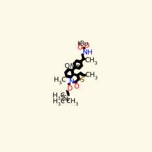 COc1cc(C)c2c(c1-c1ccc(C(C)CNC(=O)OC(C)(C)C)cc1)c1cc(C)sc1c(=O)n2COCC[Si](C)(C)C